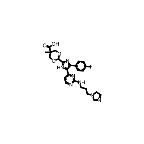 CC1(C(=O)O)COC(c2nc(-c3ccc(F)cc3)c(-c3ccnc(NCCCN4CC=NC4)n3)[nH]2)OC1